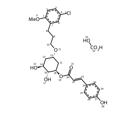 COc1ccc(Cl)cc1CCCO[C@H]1C[C@H](O)[C@@H](O)[C@H](OC(=O)/C=C/c2ccc(O)cc2)C1.O=C(O)O